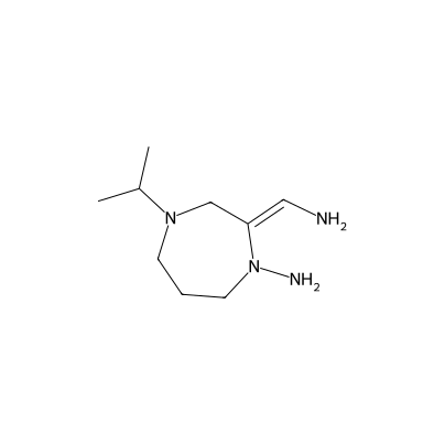 CC(C)N1CCCN(N)/C(=C\N)C1